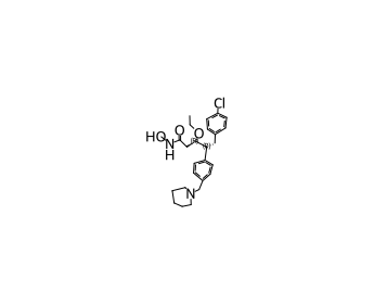 CCO[C@H](CC(=O)NO)[C@H](Cc1ccc(Cl)cc1)c1ccc(CN2CCCCC2)cc1